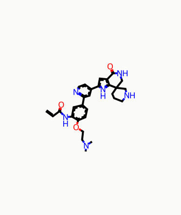 C=CC(=O)Nc1cc(-c2cc(-c3cc4c([nH]3)C3(CCCNC3)CNC4=O)ccn2)ccc1OCCN(C)C